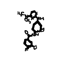 CN(C)c1ccnc(NC2CCC(NC(=O)c3ccc(F)c(Cl)c3)CC2)n1.Cl